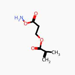 C=C(C)C(=O)OCCC(=O)ON